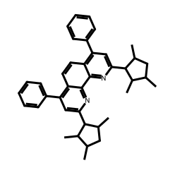 CC1CC(C)C(c2cc(-c3ccccc3)c3ccc4c(-c5ccccc5)cc(C5C(C)CC(C)C5C)nc4c3n2)C1C